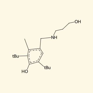 Cc1c(CNCCCO)cc(C(C)(C)C)c(O)c1C(C)(C)C